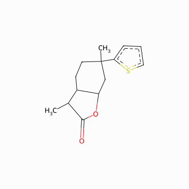 CC1C(=O)OC2CC(C)(c3cccs3)CCC21